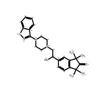 CC1(C)C(=O)C(C)(C)c2cc(C(O)CN3CCN(c4nsc5ccccc45)CC3)ccc21